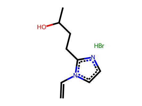 Br.C=Cn1ccnc1CCC(C)O